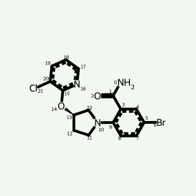 NC(=O)c1cc(Br)ccc1N1CC[C@@H](Oc2ncccc2Cl)C1